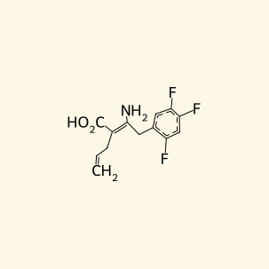 C=CCC(C(=O)O)=C(N)Cc1cc(F)c(F)cc1F